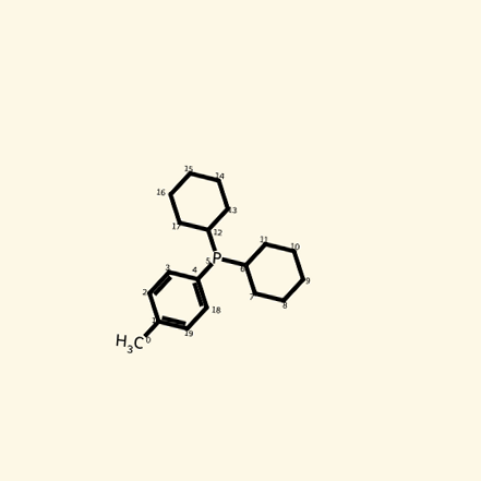 Cc1ccc(P(C2CCCCC2)C2CCCCC2)cc1